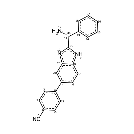 N#Cc1ccc(-c2ccc3[nH]c([C@H](N)c4ccccc4)nc3c2)cc1